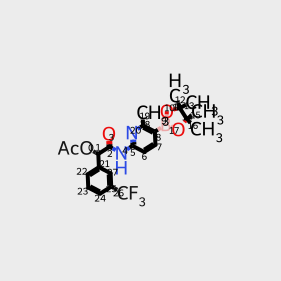 CC(=O)OC(C(=O)Nc1ccc(B2OC(C)(C)C(C)(C)O2)c(C)n1)c1cccc(C(F)(F)F)c1